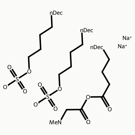 CCCCCCCCCCCCCC(=O)OC(=O)CNC.CCCCCCCCCCCCCCOS(=O)(=O)[O-].CCCCCCCCCCCCCCOS(=O)(=O)[O-].[Na+].[Na+]